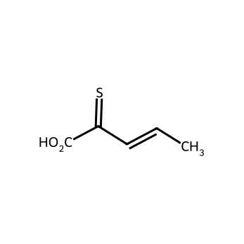 CC=CC(=S)C(=O)O